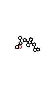 c1cc(-c2cccc3ccccc23)cc(-c2c3ccccc3c(-c3ccc(-c4ccccc4-c4ccc5oc6ccccc6c5c4)cc3)c3ccccc23)c1